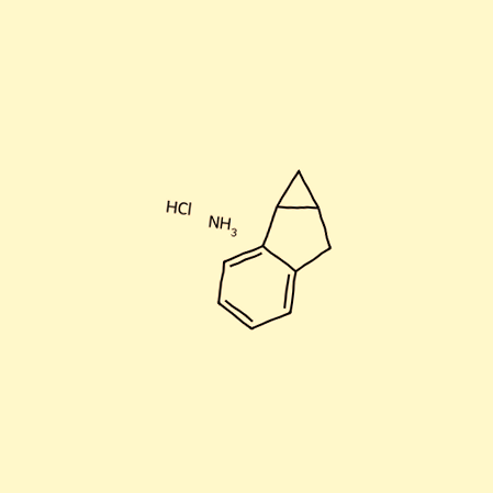 Cl.N.c1ccc2c(c1)CC1CC21